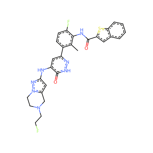 Cc1c(-c2cc(Nc3cc4n(n3)CCN(CCF)C4)c(=O)[nH]n2)ccc(F)c1NC(=O)c1cc2ccccc2s1